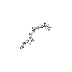 C[C@H](c1ccccn1)N1CCN(c2ccc(-c3nc(-c4cnn(C5CCN(C(=O)CC6(O)CCN(c7ccc(NC8CCC(=O)NC8=O)cc7F)CC6)CC5)c4)cn4ncc(C#N)c34)cn2)CC1